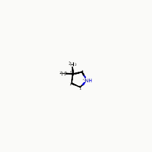 [2H]C1([2H])CCNC1